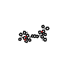 c1ccc(N(c2ccccc2)c2ccc(C3(c4ccccc4)c4ccccc4N(c4ccc5cc6cc(N7c8ccccc8C(c8ccccc8)(c8ccc(N(c9ccccc9)c9ccccc9)cc8)c8cc9c(cc87)sc7ccccc79)ccc6cc5c4)c4cc5sc6ccccc6c5cc43)cc2)cc1